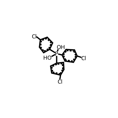 OP(O)(c1ccc(Cl)cc1)(c1ccc(Cl)cc1)c1ccc(Cl)cc1